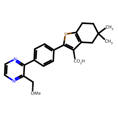 COCc1nccnc1-c1ccc(-c2sc3c(c2C(=O)O)CC(C)(C)CC3)cc1